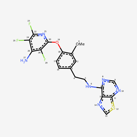 COc1cc(CCNc2ncnc3scnc23)ccc1Oc1nc(F)c(F)c(N)c1F